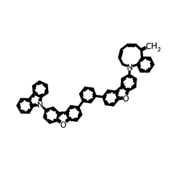 C=C1/C=C\C=C/CN(c2ccc3oc4ccc(-c5cccc(-c6ccc7oc8ccc(-n9c%10ccccc%10c%10ccccc%109)cc8c7c6)c5)cc4c3c2)c2ccccc21